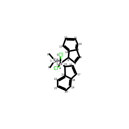 C[SiH](C)[Zr]([Cl])([Cl])([CH]1C=Cc2ccccc21)[CH]1C=Cc2ccccc21